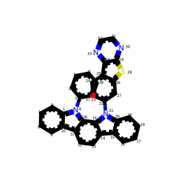 c1ccc(-n2c3ccccc3c3ccc4c5ccccc5n(-c5ccc6c(c5)sc5nccnc56)c4c32)cc1